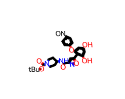 CC(C)(C)OC(=O)N1CCC(NC(=O)c2cc(-c3c(O)cc(O)cc3Oc3ccc(N=O)cc3)on2)CC1